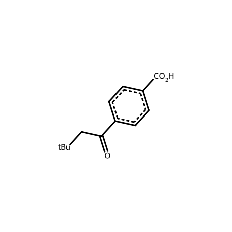 CC(C)(C)CC(=O)c1ccc(C(=O)O)cc1